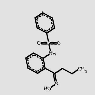 CCC/C(=N/O)c1ccccc1NS(=O)(=O)c1cc[c]cc1